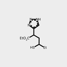 CCOC(=O)C(CC(S)CC)c1c[nH]nn1